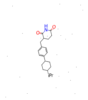 CC(C)C1CCC(c2ccc(CC3CCC(=O)NC3=O)cc2)CC1